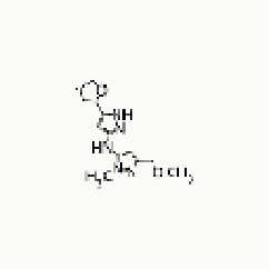 COCc1cc(Nc2cc(C3C[CH]CO3)[nH]n2)n(C)n1